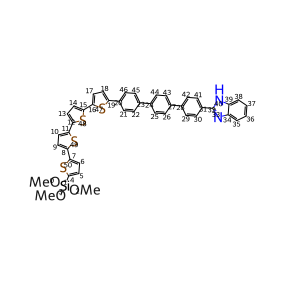 CO[Si](OC)(OC)c1ccc(-c2ccc(-c3ccc(-c4ccc(-c5ccc(-c6ccc(-c7ccc(-c8nc9ccccc9[nH]8)cc7)cc6)cc5)s4)s3)s2)s1